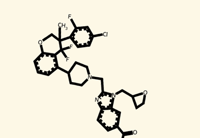 CC1(c2ccc(Cl)cc2F)COc2cccc(C3CCN(Cc4nc5ccc(C(=O)O)cc5n4CC4CCO4)CC3)c2C1(F)F